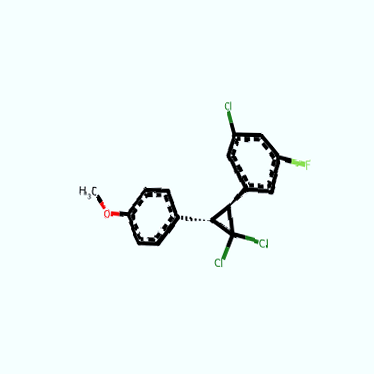 COc1ccc([C@@H]2[C@@H](c3cc(F)cc(Cl)c3)C2(Cl)Cl)cc1